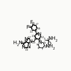 NC(=O)C[C@@H]1[C@H](N)CCCN1c1cnc(-c2ccc(F)c(F)c2)cc1Cn1cnc2c(N)ncnc21